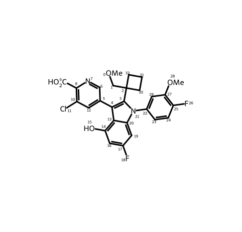 COCC1(c2c(-c3cnc(C(=O)O)c(Cl)c3)c3c(O)cc(F)cc3n2-c2ccc(F)c(OC)c2)CCC1